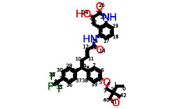 CCC1(COc2ccc(C(=CC=CC(=O)Nc3cccc4c3CC(O)C(=O)N4)c3ccc(C(F)(F)F)cc3)cc2)COC1